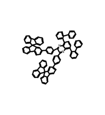 c1ccc(-c2ccccc2-c2ccc(-c3ccccc3-c3ccccc3)c3nc(-c4ccc(-c5ccc6c(c5)C5(c7ccccc7-c7ccccc75)c5ccccc5-6)cc4)c(-c4ccc(-c5ccc6c(c5)C5(c7ccccc7-c7ccccc75)c5ccccc5-6)cc4)nc23)cc1